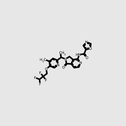 Cc1cc(C(C)N2Cc3c(ccnc3NC(=O)c3cnco3)C2=O)ncc1OCC(F)(F)C(F)F